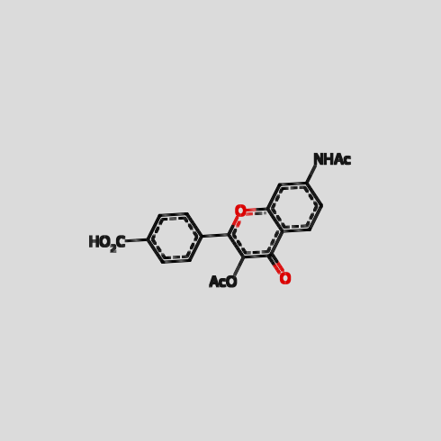 CC(=O)Nc1ccc2c(=O)c(OC(C)=O)c(-c3ccc(C(=O)O)cc3)oc2c1